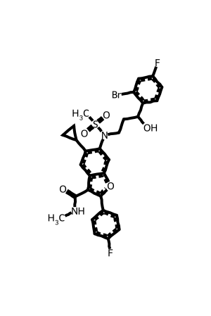 CNC(=O)c1c(-c2ccc(F)cc2)oc2cc(N(CCC(O)c3ccc(F)cc3Br)S(C)(=O)=O)c(C3CC3)cc12